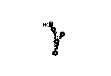 CCC(C)(C(=O)O)c1ccc(OCCCc2cc3c(cc2OCc2ccccc2)CC(CCc2ccccc2)O3)cc1